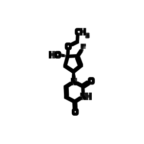 CCO[C@]1(O)C[C@H](n2ccc(=O)[nH]c2=O)C=C1F